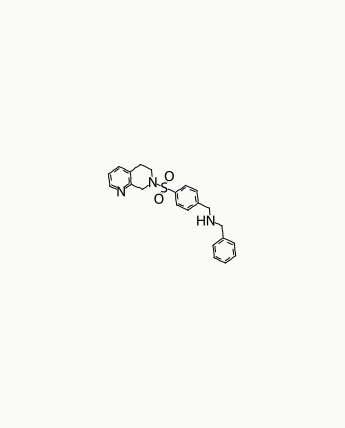 O=S(=O)(c1ccc(CNCc2ccccc2)cc1)N1CCc2cccnc2C1